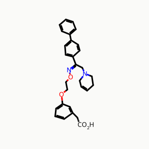 O=C(O)Cc1cccc(OCCO/N=C(\CN2CC=CCC2)c2ccc(-c3ccccc3)cc2)c1